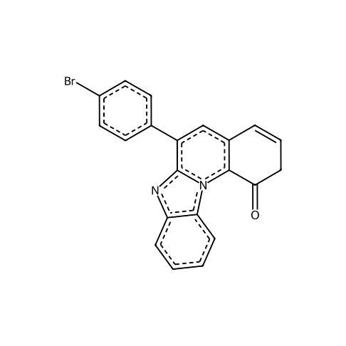 O=C1CC=Cc2cc(-c3ccc(Br)cc3)c3nc4ccccc4n3c21